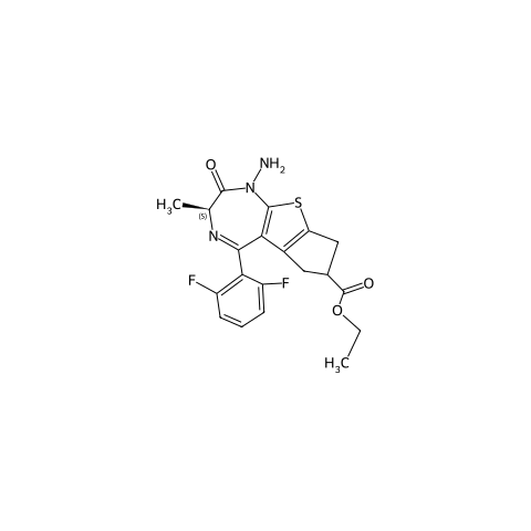 CCOC(=O)C1Cc2sc3c(c2C1)C(c1c(F)cccc1F)=N[C@@H](C)C(=O)N3N